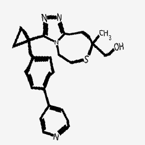 CC1(CO)Cc2nnc(C3(c4ccc(-c5ccncc5)cc4)CC3)n2CCS1